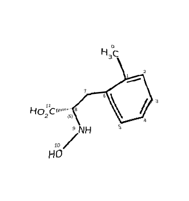 Cc1ccccc1C[C@H](NO)C(=O)O